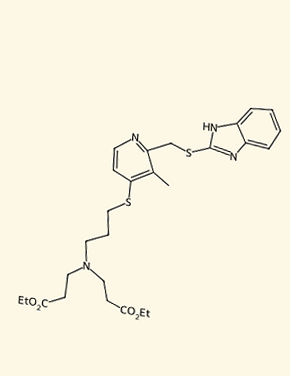 CCOC(=O)CCN(CCCSc1ccnc(CSc2nc3ccccc3[nH]2)c1C)CCC(=O)OCC